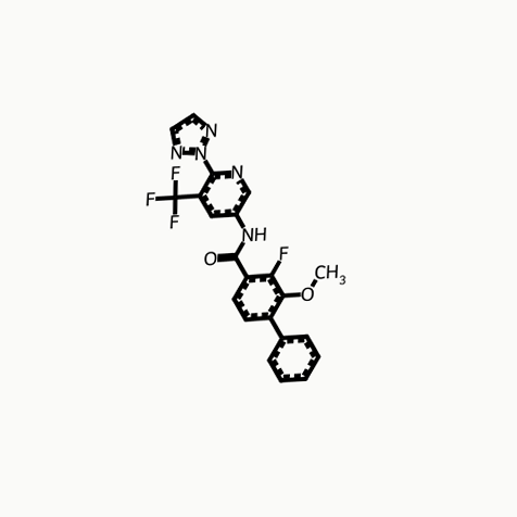 COc1c(-c2ccccc2)ccc(C(=O)Nc2cnc(-n3nccn3)c(C(F)(F)F)c2)c1F